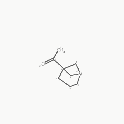 CC(=O)C12CCCN(C1)C2